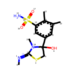 C/N=C1\SCC(O)(c2cc(C)c(C)c(S(N)(=O)=O)c2)N1C